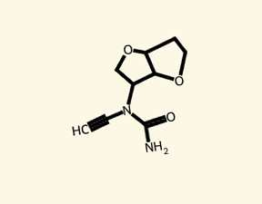 C#CN(C(N)=O)C1COC2CCOC21